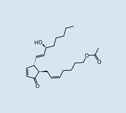 CCCCC[C@H](O)/C=C/[C@H]1C=CC(=O)[C@@H]1C/C=C\CCCCOC(C)=O